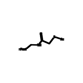 CCCCCCNC(=O)CSC(C)=O